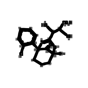 O=C(O)C(O)C(O)C1=N[C@@]2(c3ccccc3Cl)CCC[C@@H](O1)C2=O